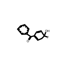 O=C(C1=CCC(O)(F)C=C1)c1ccccc1